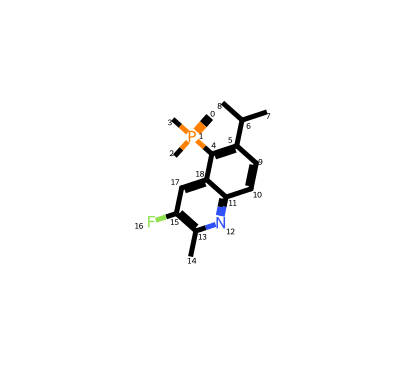 C=P(C)(C)c1c(C(C)C)ccc2nc(C)c(F)cc12